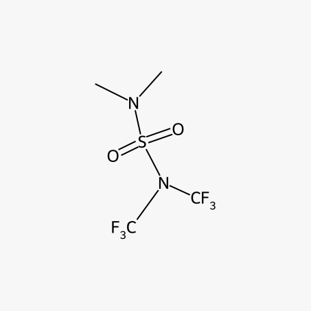 CN(C)S(=O)(=O)N(C(F)(F)F)C(F)(F)F